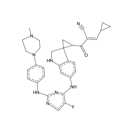 CN1CCN(c2ccc(Nc3ncc(F)c(Nc4ccc5c(c4)NCC54CC4C(=O)C(C#N)=CC4CC4)n3)cc2)CC1